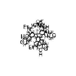 CCN(CCO)Cc1cc([C@](C)(c2cc(CN(CC)CCOC)c(O)c(CN3CCOCC3)c2)c2cc(CN3CCOCC3)c(O)c(CN3CCOCC3)c2)cc(CN2CCOCC2)c1O